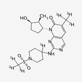 [2H]C1(Nc2ncc3cc(C([2H])([2H])[2H])c(=O)n([C@@H]4CC[C@@H](O)[C@H]4C)c3n2)CCN(S(=O)(=O)C([2H])([2H])[2H])CC1